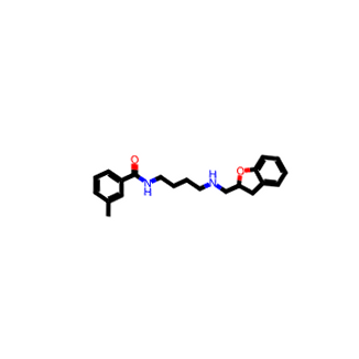 Cc1cccc(C(=O)NCCCCNCC2Cc3ccccc3O2)c1